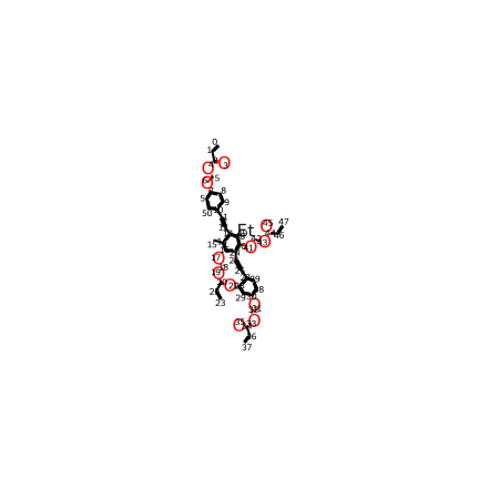 C=CC(=O)OCOc1ccc(C#Cc2c(C)c(OCOC(=O)C=C)c(C#Cc3ccc(OCOC(=O)C=C)cc3)c(OCOC(=O)C=C)c2CC)cc1